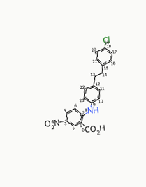 O=C(O)c1cc([N+](=O)[O-])ccc1Nc1ccc(CCc2ccc(Cl)cc2)cc1